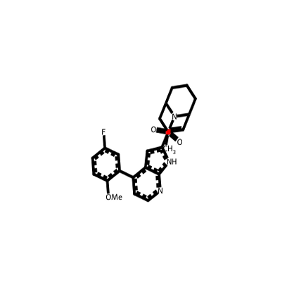 COc1ccc(F)cc1-c1ccnc2[nH]c(C3=CC4CCCC(C3)N4S(C)(=O)=O)cc12